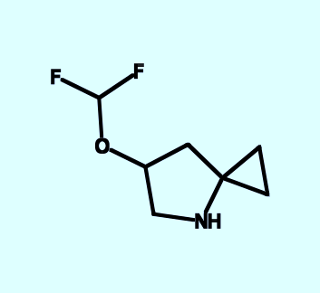 FC(F)OC1CNC2(CC2)C1